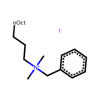 CCCCCCCCCCC[N+](C)(C)Cc1ccccc1.[I-]